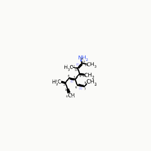 C#CC(=C)/C=C(\C=C/C)C(=C)/C(C)=C(\C)N